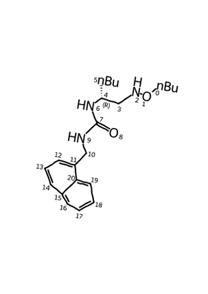 CCCCONC[C@@H](CCCC)NC(=O)NCc1cccc2ccccc12